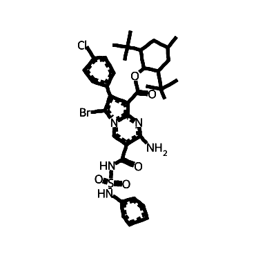 CC1CC(C(C)(C)C)C(OC(=O)c2c(-c3ccc(Cl)cc3)c(Br)n3cc(C(=O)NS(=O)(=O)Nc4ccccc4)c(N)nc23)C(C(C)(C)C)C1